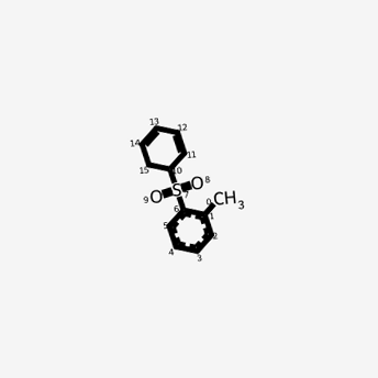 Cc1ccccc1S(=O)(=O)C1C=CC=CC1